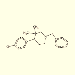 CC1(C)CN(Cc2ccccc2)CCC1c1ccc(Cl)cc1